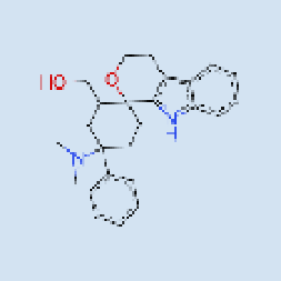 CN(C)C1(c2ccccc2)CCC2(OCCc3c2[nH]c2ccccc32)C(CO)C1